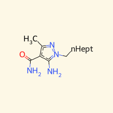 CCCCCCCCn1nc(C)c(C(N)=O)c1N